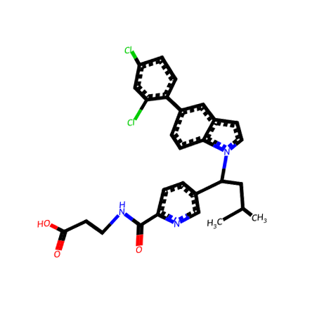 CC(C)CC(c1ccc(C(=O)NCCC(=O)O)nc1)n1ccc2cc(-c3ccc(Cl)cc3Cl)ccc21